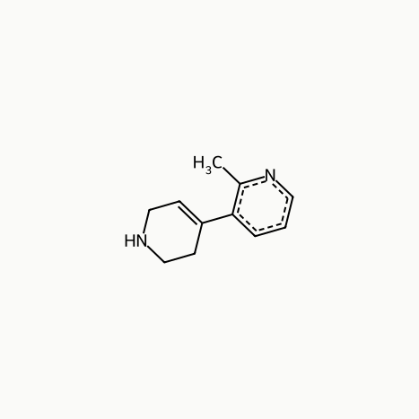 Cc1ncccc1C1=CCNCC1